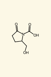 O=C(O)N1C(=O)CCC1CO